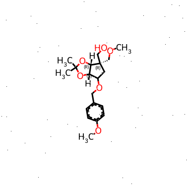 COC[C@]1(CO)CC(OCc2ccc(OC)cc2)[C@@H]2OC(C)(C)O[C@@H]21